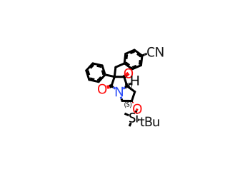 CC(C)(C)[Si](C)(C)O[C@H]1C[C@H]2C(=O)C(Cc3ccc(C#N)cc3)(c3ccccc3)C(=O)N2C1